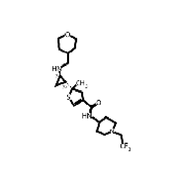 CC1([C@@H]2C[C@H]2NCC2CCOCC2)CC(C(=O)NC2CCN(CC(F)(F)F)CC2)=CS1